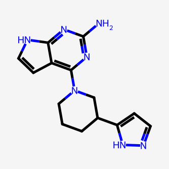 Nc1nc(N2CCCC(c3ccn[nH]3)C2)c2cc[nH]c2n1